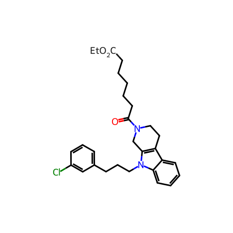 CCOC(=O)CCCCCC(=O)N1CCc2c(n(CCCc3cccc(Cl)c3)c3ccccc23)C1